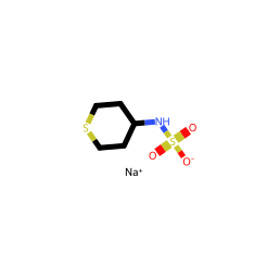 O=S(=O)([O-])NC1CCSCC1.[Na+]